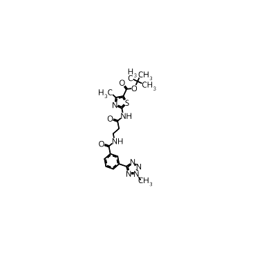 Cc1nc(NC(=O)CCNC(=O)c2cccc(-c3nnn(C)n3)c2)sc1C(=O)OC(C)(C)C